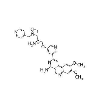 COc1cc2ncc3c(N)nc(-c4cncc(OC[C@@H](N)CN(C)Cc5ccncc5)c4)cc3c2cc1OC